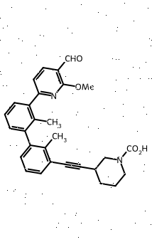 COc1nc(-c2cccc(-c3cccc(C#CC4CCCN(C(=O)O)C4)c3C)c2C)ccc1C=O